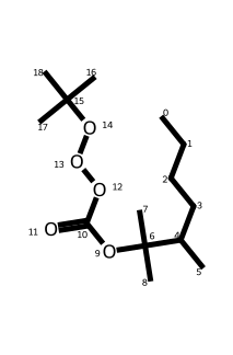 CCCCC(C)C(C)(C)OC(=O)OOOC(C)(C)C